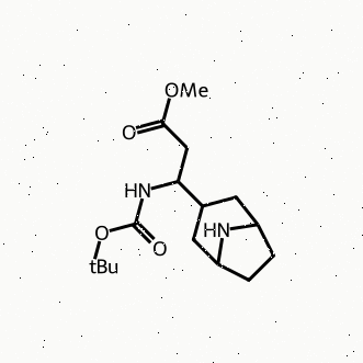 COC(=O)CC(NC(=O)OC(C)(C)C)C1CC2CCC(C1)N2